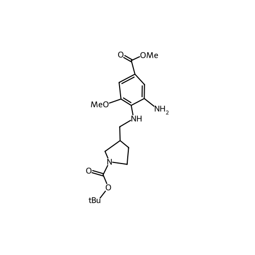 COC(=O)c1cc(N)c(NCC2CCN(C(=O)OC(C)(C)C)C2)c(OC)c1